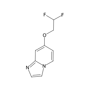 FC(F)COc1ccn2ccnc2c1